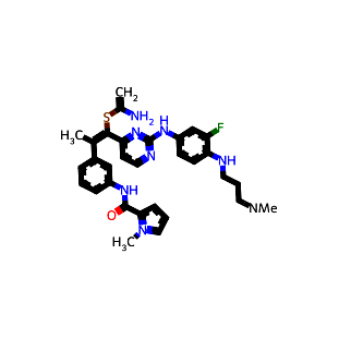 C=C(N)S/C(=C(\C)c1cccc(NC(=O)c2cccn2C)c1)c1ccnc(Nc2ccc(NCCCNC)c(F)c2)n1